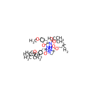 C=CCCOC(=O)[C@@H]1CCCN(C(=O)[C@H](Cc2cccc(O[Si](C)(C)C(C)(C)C)c2)NC(=O)[C@H](Cc2ccc(OC)cc2)NC(=O)OC(C)(C)C)N1